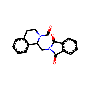 O=CN1CCc2ccccc2C1CN1C(=O)c2ccccc2C1=O